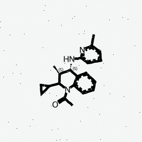 CC(=O)N1c2ccccc2[C@@H](Nc2cccc(C)n2)[C@H](C)C1C1CC1